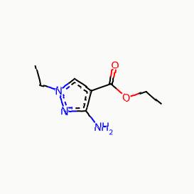 CCOC(=O)c1cn(CC)nc1N